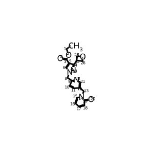 CCOC(=O)c1cn(Cc2ccc(Cn3ccccc3=O)cn2)nc1C1COC1